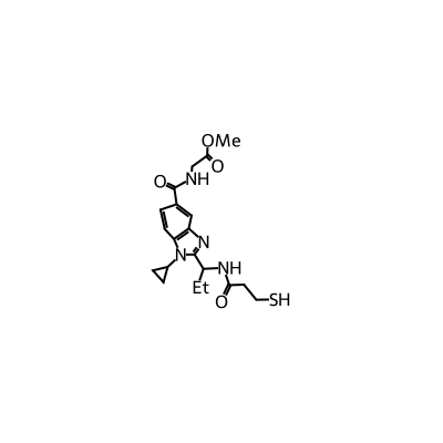 CCC(NC(=O)CCS)c1nc2cc(C(=O)NCC(=O)OC)ccc2n1C1CC1